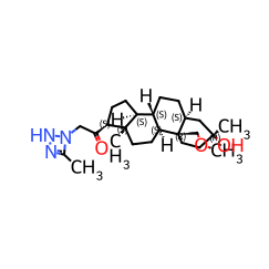 COC[C@]12CC[C@@](C)(O)C[C@@H]1CC[C@H]1[C@@H]3CC[C@H](C(=O)Cn4[nH]nc4C)[C@@]3(C)CC[C@@H]12